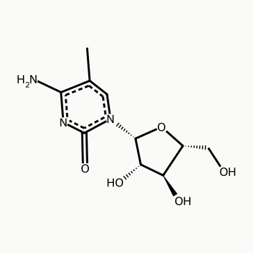 Cc1cn([C@@H]2O[C@H](CO)[C@@H](O)[C@@H]2O)c(=O)nc1N